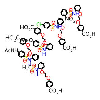 CC(=O)Nc1ccc(S(=O)(=O)Nc2ccccc2OCCOc2ccc(C(=O)O)cc2)cc1.COc1ccc(S(=O)(=O)Nc2ccccc2OCCOc2ccc(C(=O)O)cc2)cc1.CS(=O)(=O)Nc1ccccc1OCCOc1ccc(C(=O)O)cc1.O=C(O)c1ccc(OCCOc2ccccc2NS(=O)(=O)c2ccc(Cl)cc2)cc1.O=C(O)c1ccc(OCCOc2ccccc2NS(=O)(=O)c2ccccc2[N+](=O)[O-])cc1